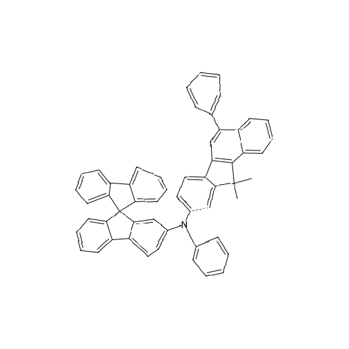 CC1(C)c2cc(N(c3ccccc3)c3ccc4c(c3)C3(c5ccccc5-c5ccccc53)c3ccccc3-4)ccc2-c2cc(-c3ccccc3)c3ccccc3c21